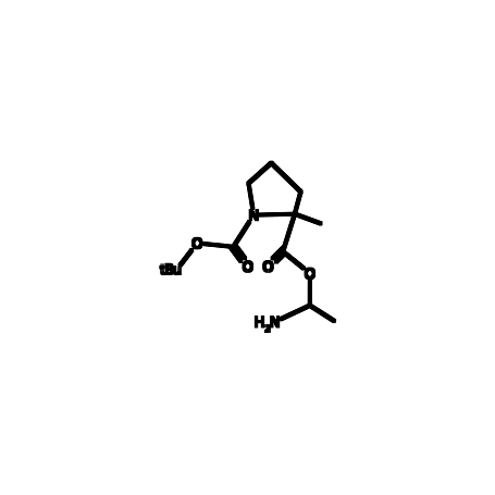 CC(N)OC(=O)C1(C)CCCN1C(=O)OC(C)(C)C